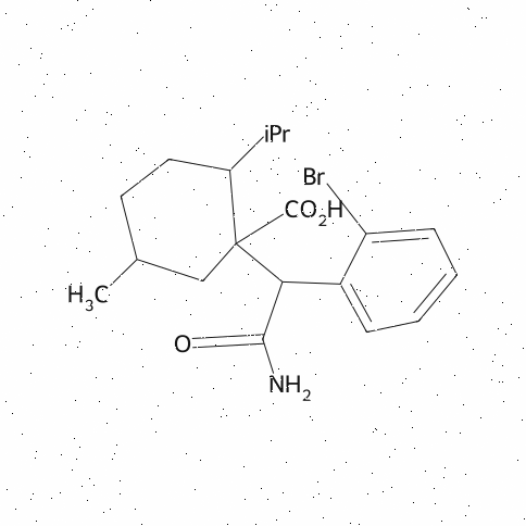 CC1CCC(C(C)C)C(C(=O)O)(C(C(N)=O)c2ccccc2Br)C1